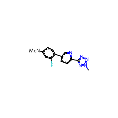 CNc1ccc(-c2ccc(-c3nnn(C)n3)nc2)c(F)c1